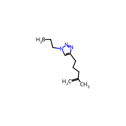 BCCn1cc(CCCC(=C)C)nn1